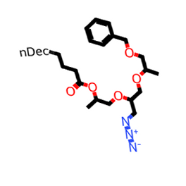 CCCCCCCCCCCCCC(=O)OC(C)COC(CN=[N+]=[N-])COC(C)COCc1ccccc1